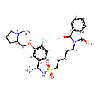 C[C@@H](NS(=O)(=O)CCCCCN1C(=O)c2ccccc2C1=O)c1ccc(F)c(OCC2CCCN2C)c1